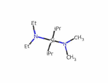 CCN(CC)[Si](C(C)C)(C(C)C)N(C)C